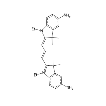 CCN1/C(=C/C=C/C2=[N+](CC)c3ccc(N)cc3C2(C)C)C(C)(C)c2cc(N)ccc21